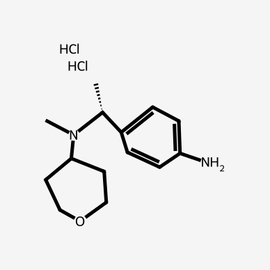 C[C@H](c1ccc(N)cc1)N(C)C1CCOCC1.Cl.Cl